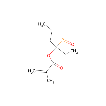 C=C(C)C(=O)OC(CC)(CCC)P=O